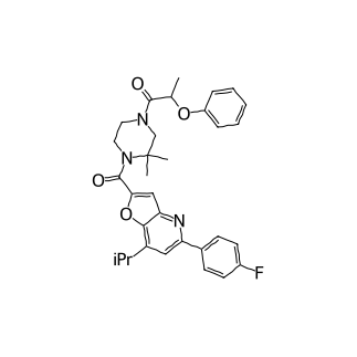 CC(Oc1ccccc1)C(=O)N1CCN(C(=O)c2cc3nc(-c4ccc(F)cc4)cc(C(C)C)c3o2)C(C)(C)C1